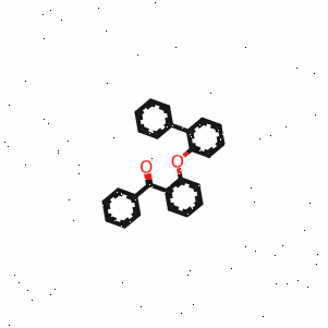 O=C(c1ccccc1)c1ccccc1Oc1ccccc1-c1ccccc1